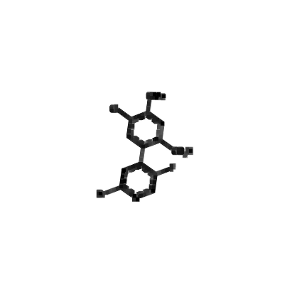 COc1cc(C(=O)O)c(-c2cc(Br)ncc2F)cc1Cl